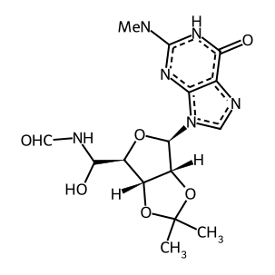 CNc1nc2c(ncn2[C@@H]2O[C@H](C(O)NC=O)[C@H]3OC(C)(C)O[C@H]32)c(=O)[nH]1